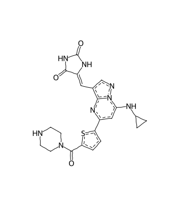 O=C1NC(=O)/C(=C/c2cnn3c(NC4CC4)cc(-c4ccc(C(=O)N5CCNCC5)s4)nc23)N1